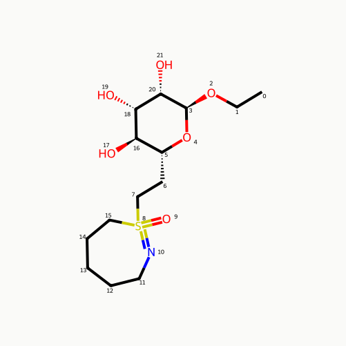 CCO[C@H]1O[C@H](CCS2(=O)=NCCCCC2)[C@@H](O)[C@H](O)[C@@H]1O